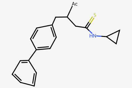 CC(=O)C(CC(=S)NC1CC1)Cc1ccc(-c2ccccc2)cc1